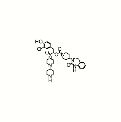 O=C(OC(Cc1ccc(O)c(Cl)c1)C(=O)N1CCN(C2CCNCC2)CC1)N1CCC(N2CCc3ccccc3NC2=O)CC1